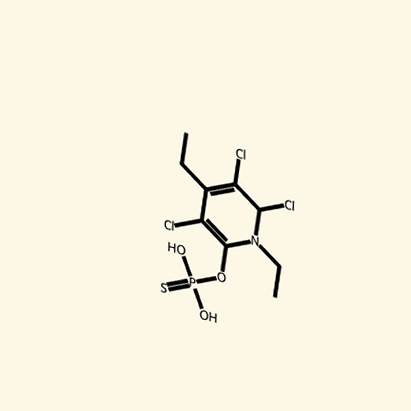 CCC1=C(Cl)C(Cl)N(CC)C(OP(O)(O)=S)=C1Cl